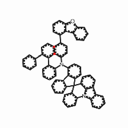 c1ccc(-c2ccccc2-c2ccccc2N(c2ccc(-c3cccc4oc5ccccc5c34)cc2)c2cccc3c2-c2ccccc2C32c3ccccc3-n3c4ccccc4c4cccc2c43)cc1